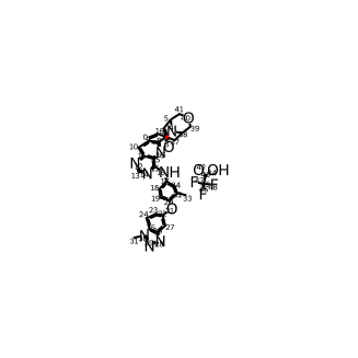 C=CC(=O)N1C2C=C(c3ccc4ncnc(Nc5ccc(Oc6ccc7c(c6)nnn7C)c(C)c5)c4n3)CC1COC2.O=C(O)C(F)(F)F